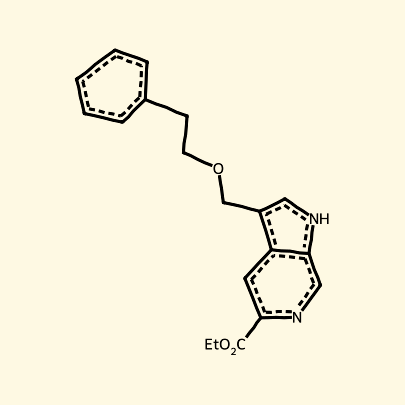 CCOC(=O)c1cc2c(COCCc3ccccc3)c[nH]c2cn1